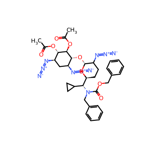 CC(=O)O[C@@H]1[C@@H](OC(C)=O)[C@H](N=[N+]=[N-])C[C@H](N=[N+]=[N-])[C@H]1O[C@H]1O[C@H]([C@@H](C2CC2)N(Cc2ccccc2)C(=O)OCc2ccccc2)CCC1N=[N+]=[N-]